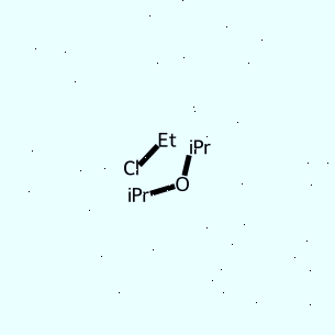 CC(C)OC(C)C.CCCl